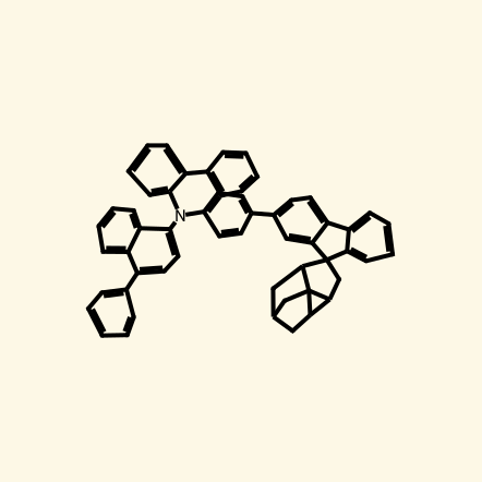 c1ccc(-c2ccccc2N(c2ccc(-c3ccc4c(c3)C3(CC5C6CC7CC3C65C7)c3ccccc3-4)cc2)c2ccc(-c3ccccc3)c3ccccc23)cc1